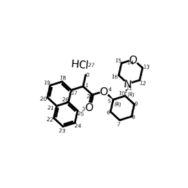 CC(C(=O)O[C@@H]1CCCC[C@H]1N1CCOCC1)c1cccc2ccccc12.Cl